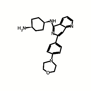 N[C@H]1CC[C@@H](Nc2nc(-c3ccc(N4CCOCC4)cc3)cc3ncccc23)CC1